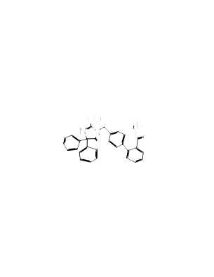 CCCCC1=NC(c2ccccc2)(c2ccccc2)C(=O)N1Cc1ccc(-c2ccccc2C(=O)OC(C)(C)C)cc1